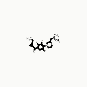 CCC1[CH]C1C(=O)c1cc(F)c(N2CCOC(CN(C)C)C2)c(F)c1F